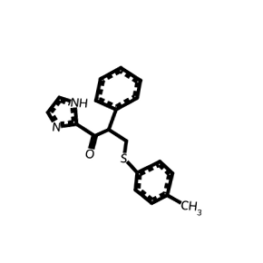 Cc1ccc(SCC(C(=O)c2ncc[nH]2)c2ccccc2)cc1